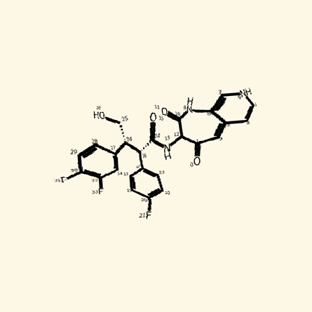 O=C1C=C2C=CNC=C2NC(=O)C1NC(=O)[C@H](c1ccc(F)cc1)[C@@H](CO)c1ccc(F)c(F)c1